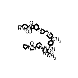 CC1(c2ccc(Nc3nc(N4CCCC(N5CCN(C6CCCC6)C5=O)C4)cnc3C(N)=O)cc2)CCN(CC2CCN(c3ccc4c(c3)C(=O)N(C3CCC(=O)NC3=O)C4=O)C2)CC1